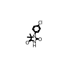 CC1(C)C(=O)NC(=O)N1c1ccc(Cl)cc1